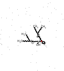 CCCCCCCCC(CCCCCCCC)COC(=O)CCCCCN(CCO)CCN(CCCCCC(=O)OCC(CCCCCCCC)CCCCCCCC)C1CCC(F)(F)CC1